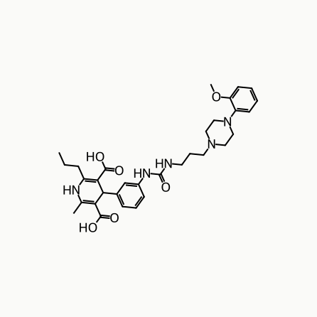 CCCC1=C(C(=O)O)C(c2cccc(NC(=O)NCCCN3CCN(c4ccccc4OC)CC3)c2)C(C(=O)O)=C(C)N1